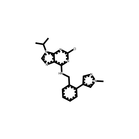 CC(C)n1cnc2c(NCc3ccccc3-c3cnn(C)c3)nc(Cl)nc21